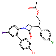 CC(=O)OCCC(c1ccc(F)cc1)C1CN(c2ccc(I)cc2-c2ccc(O)cc2)C1=O